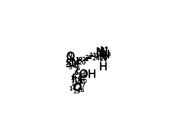 O=C1SCC(C=CC(O)C(F)(F)c2ccccc2)N1CCC#CCCc1nnn[nH]1